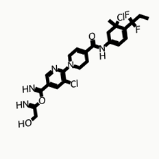 CCC(F)(F)C1=CC=C(NC(=O)C2=CCN(c3ncc(C(=N)OC(=N)CO)cc3Cl)CC2)CC1(C)Cl